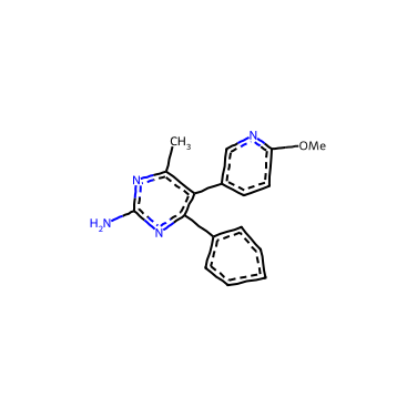 COc1ccc(-c2c(C)nc(N)nc2-c2ccccc2)cn1